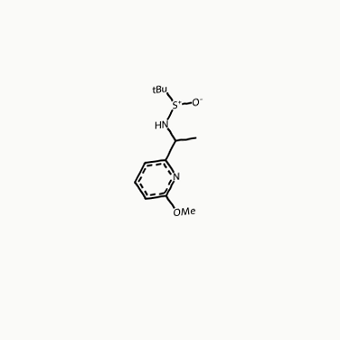 COc1cccc(C(C)N[S+]([O-])C(C)(C)C)n1